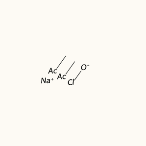 CC(C)=O.CC(C)=O.[Na+].[O-]Cl